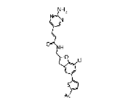 CC(=O)c1ccc(-c2cc(Cl)c3c(c2)CC(CNC(=O)/C=C/c2cnc(N)nc2)O3)s1